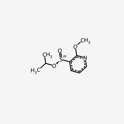 COc1ncccc1[S@](=O)OC(C)C